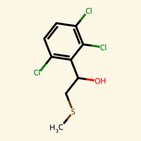 CSCC(O)c1c(Cl)ccc(Cl)c1Cl